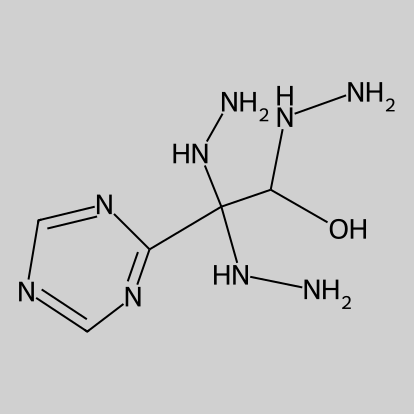 NNC(O)C(NN)(NN)c1ncncn1